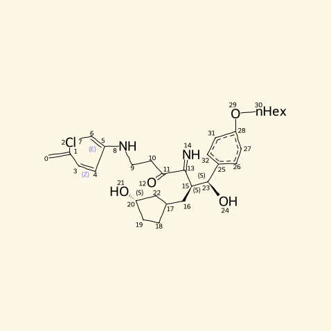 C=C(Cl)/C=C\C(=C/C)NCCC(=O)C(=N)[C@H](CC1CC[C@H](O)C1)[C@H](O)c1ccc(OCCCCCC)cc1